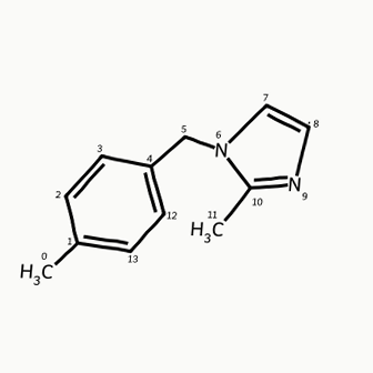 Cc1ccc(Cn2c[c]nc2C)cc1